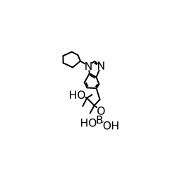 CC(C)(O)C(C)(Cc1ccc2c(c1)ncn2C1CCCCC1)OB(O)O